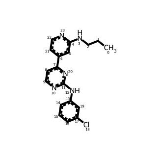 CCCNc1cc(-c2ccnc(Nc3cccc(Cl)c3)n2)ccn1